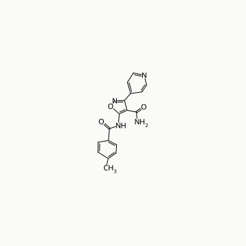 Cc1ccc(C(=O)Nc2onc(-c3ccncc3)c2C(N)=O)cc1